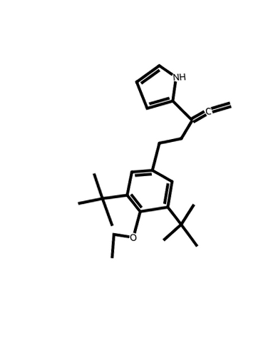 C=C=C(CCc1cc(C(C)(C)C)c(OCC)c(C(C)(C)C)c1)c1ccc[nH]1